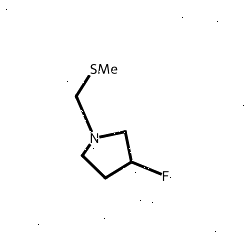 CSCN1CCC(F)C1